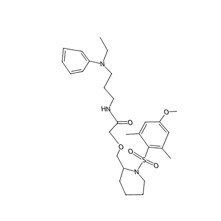 CCN(CCCNC(=O)COCC1CCCCN1S(=O)(=O)c1c(C)cc(OC)cc1C)c1ccccc1